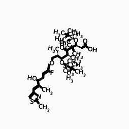 C/C(=C\c1csc(C)n1)C(O)C/C=C(\F)COC[C@H](C)[C@H](O[Si](C)(C)C(C)(C)C)[C@@H](C)C(=O)C(C)(C)[C@H](CC(=O)O)O[Si](C)(C)C(C)(C)C